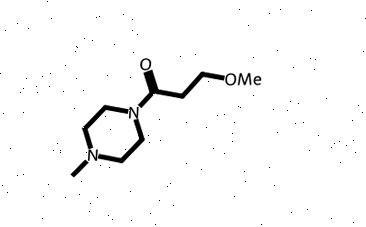 COCCC(=O)N1CCN(C)CC1